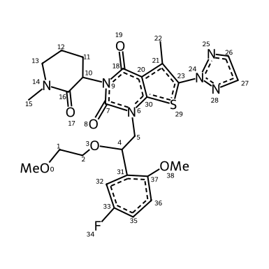 COCCOC(Cn1c(=O)n(C2CCCN(C)C2=O)c(=O)c2c(C)c(-n3nccn3)sc21)c1cc(F)ccc1OC